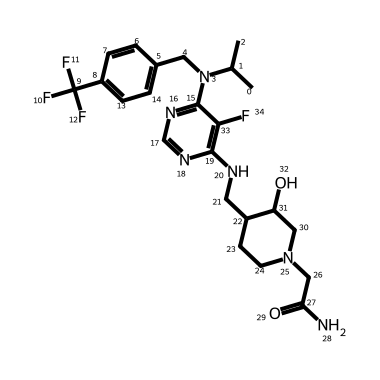 CC(C)N(Cc1ccc(C(F)(F)F)cc1)c1ncnc(NCC2CCN(CC(N)=O)CC2O)c1F